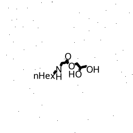 CCCCCCCNCC(=O)OCC(O)CO